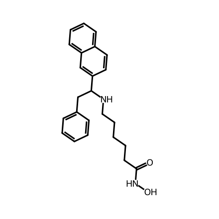 O=C(CCCCCNC(Cc1ccccc1)c1ccc2ccccc2c1)NO